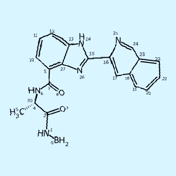 BNC(=O)[C@H](C)NC(=O)c1cccc2[nH]c(-c3cc4ccccc4cn3)nc12